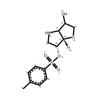 Cc1ccc(S(=O)(=O)O[C@@H]2CNC3C(O)CO[C@@H]32)cc1